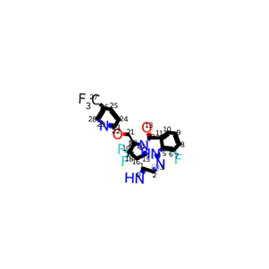 N=C/C=N\Nc1c(F)cccc1C(=O)N1CCC(F)(F)[C@H]1COc1ccc(C(F)(F)F)cn1